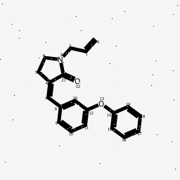 C=CCN1CCC(=Cc2cccc(Oc3ccccc3)c2)C1=O